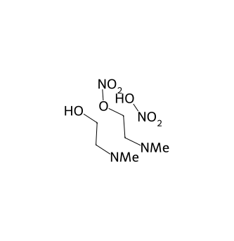 CNCCO.CNCCO[N+](=O)[O-].O=[N+]([O-])O